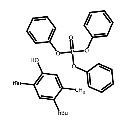 CCCCc1cc(C(C)(C)C)c(O)cc1C.O=P(Oc1ccccc1)(Oc1ccccc1)Oc1ccccc1